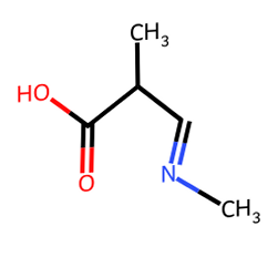 CN=CC(C)C(=O)O